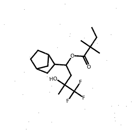 CCC(C)(C)C(=O)OC(CC(C)(O)C(F)(F)F)C1CC2CCC1C2